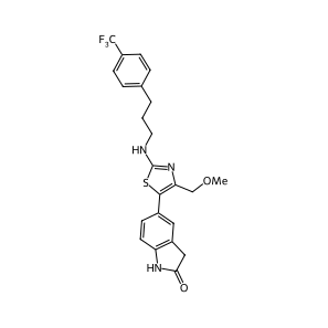 COCc1nc(NCCCc2ccc(C(F)(F)F)cc2)sc1-c1ccc2c(c1)CC(=O)N2